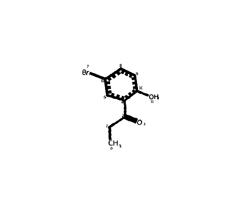 CCC(=O)c1cc(Br)ccc1O